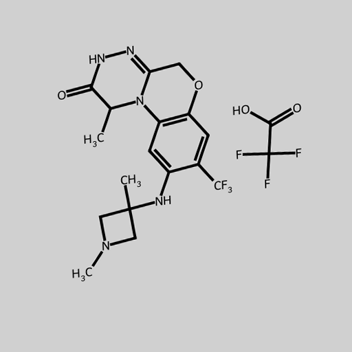 CC1C(=O)NN=C2COc3cc(C(F)(F)F)c(NC4(C)CN(C)C4)cc3N21.O=C(O)C(F)(F)F